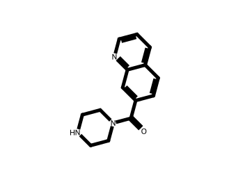 O=C(c1ccc2cccnc2c1)N1CCNCC1